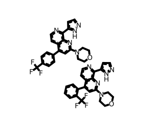 FC(F)(F)c1ccc(-c2cc(N3CCOCC3)nc3c(-c4ccn[nH]4)nccc23)cc1.FC(F)(F)c1ccccc1-c1cc(N2CCOCC2)nc2c(-c3ccn[nH]3)nccc12